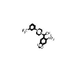 CC(c1cc2c(cc1[N+](=O)[O-])OCO2)N1CCN(c2cccc(C(F)(F)F)c2)CC1